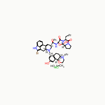 CC(C)C[C@H]1C(=O)N2CCC[C@H]2[C@]2(O)O[C@](NC(=O)[C@@H]3C=C4c5cccc6[nH]c(Br)c(c56)C[C@H]4N(C)C3)(C(C)C)C(=O)N12.CCCN1CCO[C@@H]2c3cc(O)ccc3CC[C@H]21.CS(=O)(=O)O.Cl